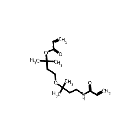 C=CC(=O)NCCC(C)(C)OCCC(C)(C)OC(=O)C=C